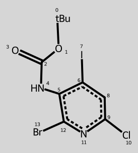 CC(C)(C)OC(=O)Nc1c(I)cc(Cl)nc1Br